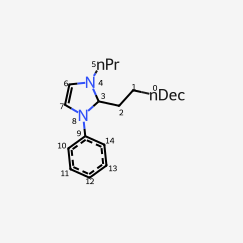 CCCCCCCCCCCCC1N(CCC)C=CN1c1ccccc1